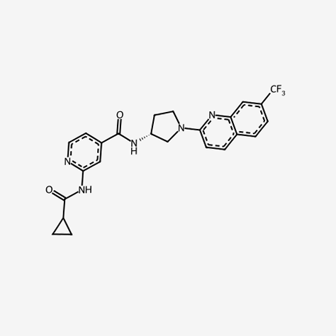 O=C(N[C@@H]1CCN(c2ccc3ccc(C(F)(F)F)cc3n2)C1)c1ccnc(NC(=O)C2CC2)c1